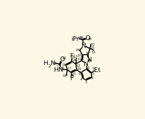 CCc1cccc2c1-n1nc3c(c1C1(C)C(F)=CC(C)(NC(N)=O)C(F)=C21)CN(C(=O)C(C)C)C3(C)C